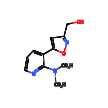 O=C(O)N(C(=O)O)c1ncccc1-c1cc(CO)no1